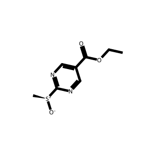 CCOC(=O)c1cnc([S@+](C)[O-])nc1